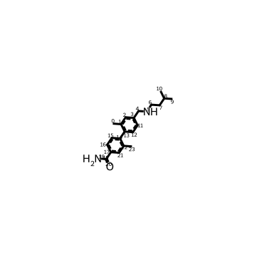 Cc1cc(CNCCC(C)C)ccc1-c1ccc(C(N)=O)cc1C